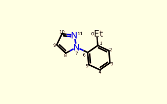 CCc1ccccc1-n1cccn1